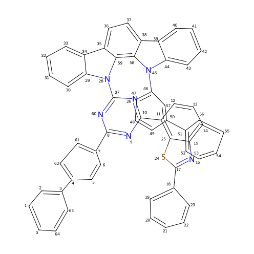 c1ccc(-c2ccc(-c3nc(-c4cccc5nc(-c6ccccc6)sc45)nc(-n4c5ccccc5c5ccc6c7ccccc7n(-c7cccc(-c8ccccc8)c7)c6c54)n3)cc2)cc1